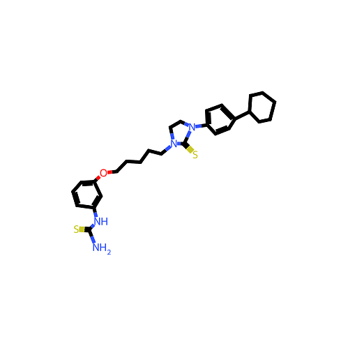 NC(=S)Nc1cccc(OCCCCCN2CCN(c3ccc(C4CCCCC4)cc3)C2=S)c1